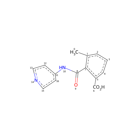 Cc1cccc(C(=O)O)c1C(=O)Nc1ccncc1